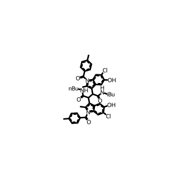 CCCCNC(=O)C(c1c(C)n(C(=O)c2ccc(C)cc2)c2cc(Cl)c(O)cc12)C(C(=O)NC(C)CC)c1c(C)n(C(=O)c2ccc(C)cc2)c2cc(Cl)c(O)cc12